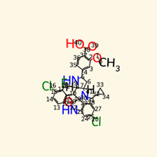 COc1cc([C@H]2C[C@H]3[C@@H](N2)[C@H](c2cccc(Cl)c2F)[C@]2(C(=O)Nc4cc(Cl)ccc42)N3CC2CC2)ccc1C(=O)O